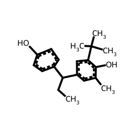 CCC(c1ccc(O)cc1)c1cc(C)c(O)c(C(C)(C)C)c1